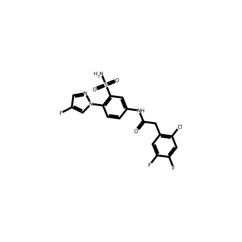 NS(=O)(=O)c1cc(NC(=O)Cc2cc(F)c(F)cc2Cl)ccc1-n1cc(F)cn1